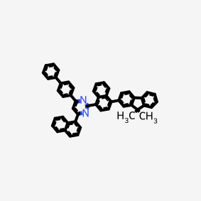 CC1(C)c2ccccc2-c2ccc(-c3ccc(-c4nc(-c5ccc(-c6ccccc6)cc5)cc(-c5cccc6ccccc56)n4)c4ccccc34)cc21